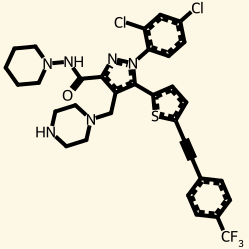 O=C(NN1CCCCC1)c1nn(-c2ccc(Cl)cc2Cl)c(-c2ccc(C#Cc3ccc(C(F)(F)F)cc3)s2)c1CN1CCNCC1